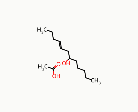 CC(=O)O.CCCC=CCC(O)CCCCC